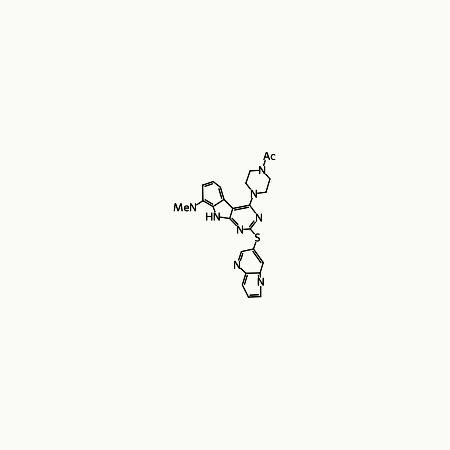 CNc1cccc2c1[nH]c1nc(Sc3cnc4cccnc4c3)nc(N3CCN(C(C)=O)CC3)c12